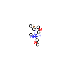 c1ccc(C2NC(c3ccc4c(c3)oc3ccccc34)NC(c3ccc4oc5cccc(-c6cccc7c6sc6ccccc67)c5c4c3)N2)cc1